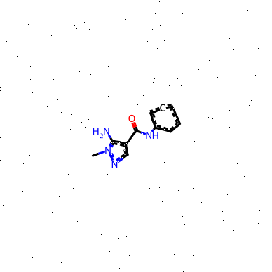 Cn1ncc(C(=O)Nc2ccccc2)c1N